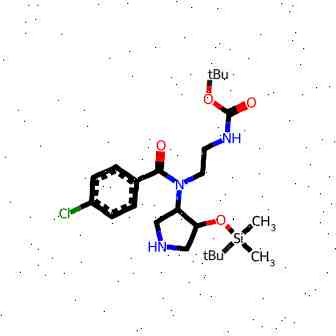 CC(C)(C)OC(=O)NCCN(C(=O)c1ccc(Cl)cc1)C1CNCC1O[Si](C)(C)C(C)(C)C